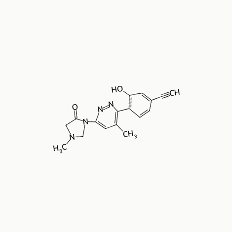 C#Cc1ccc(-c2nnc(N3CN(C)CC3=O)cc2C)c(O)c1